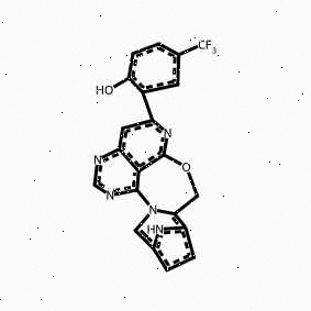 Oc1ccc(C(F)(F)F)cc1-c1cc2ncnc3c2c(n1)OCC1=c2ccc([nH]2)=CN13